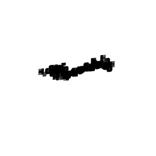 CCN(C)S(=O)(=O)Nc1ccc(F)c(C(=O)c2c[nH]c3ncc(-c4cnc(N5CCN(C(=O)CN6CCC(c7ccc(NC8CCC(=O)NC8=O)cc7C#N)CC6)CC5)nc4)cc23)c1F